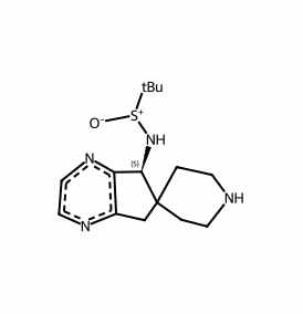 CC(C)(C)[S+]([O-])N[C@@H]1c2nccnc2CC12CCNCC2